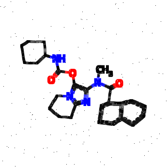 CN(C(=O)c1cccc2ccccc12)c1nc2n(c1OC(=O)NC1CCCCC1)CCCC2